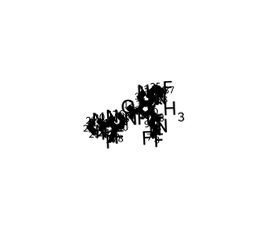 CC1(c2cnn(C(F)F)c2)CC(C(=O)Nc2cnc(-c3ncccn3)c(C(F)(F)F)c2)c2cnc3cc(F)nn3c21